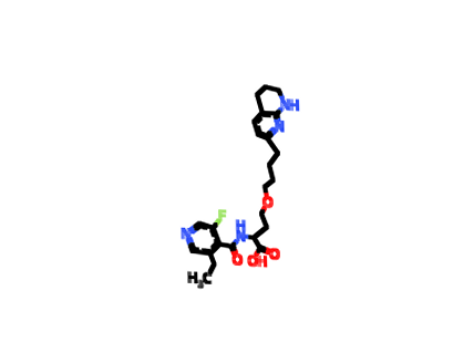 CCc1cncc(F)c1C(=O)NC(CCOCCCCc1ccc2c(n1)NCCC2)C(=O)O